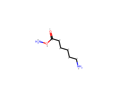 NCCCCCC(=O)ON